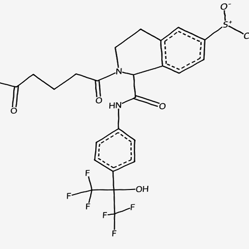 C[S+]([O-])c1ccc2c(c1)CCN(C(=O)CCCC(=O)O)C2C(=O)Nc1ccc(C(O)(C(F)(F)F)C(F)(F)F)cc1